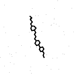 CC=CCCC1CCC(CCCCC2CCC(C3CCC(CCC)CC3)CC2)CC1